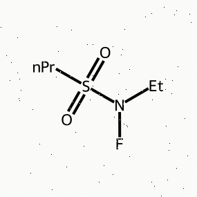 CCCS(=O)(=O)N(F)CC